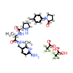 Cc1nc(N)ccc1CNC(=O)[C@H](C)NC(=O)[C@H]1C[C@H](Cc2ccc(N3CCCC3=O)cc2)CN1.O=C(O)C(F)(F)F.O=C(O)C(F)(F)F